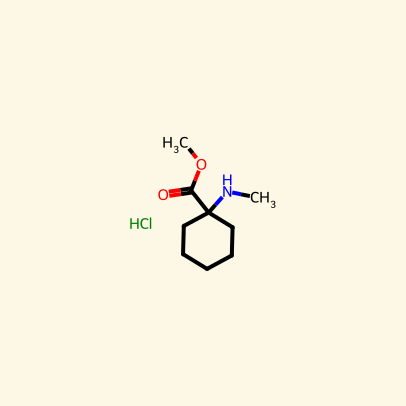 CNC1(C(=O)OC)CCCCC1.Cl